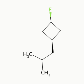 CC(C)C[C@H]1C[C@@H](F)C1